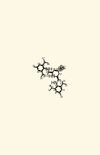 C/C(Nc1c(C(C)C)cc(C)cc1C(C)C)=C1\CC=C/C(=C(/C)Nc2c(C(C)C)cc(C)cc2C(C)C)N1.[Br-].[Br-].[Ti+2]